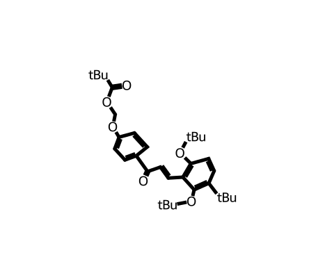 CC(C)(C)Oc1ccc(C(C)(C)C)c(OC(C)(C)C)c1/C=C/C(=O)c1ccc(OCOC(=O)C(C)(C)C)cc1